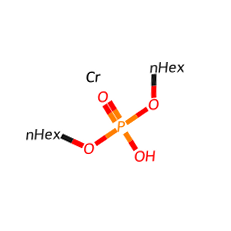 CCCCCCOP(=O)(O)OCCCCCC.[Cr]